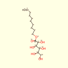 CCCCCCCCCCCCCCCCCCOC(=O)C(O)C(O)C(O)C(O)CO